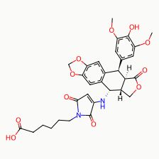 COc1cc([C@@H]2c3cc4c(cc3[C@@H](NC3=CC(=O)N(CCCCCC(=O)O)C3=O)[C@H]3COC(=O)[C@H]23)OCO4)cc(OC)c1O